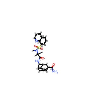 CN(C(C)(C)C(=O)NC1C2CC3CC1CC(C(N)=O)(C3)C2)S(=O)(=O)c1cccc2cccnc12